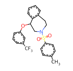 Cc1ccc(S(=O)(=O)N2CCc3ccccc3C(Oc3cccc(C(F)(F)F)c3)C2)cc1